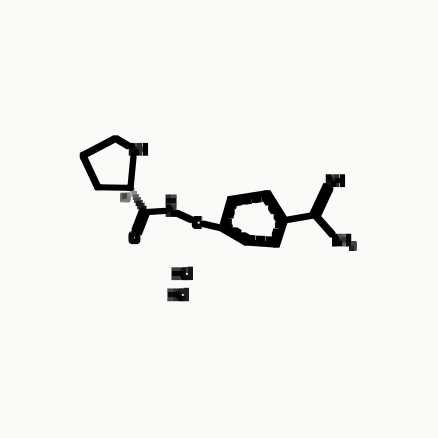 Cl.Cl.N=C(N)c1ccc(CNC(=O)[C@@H]2CCCN2)cc1